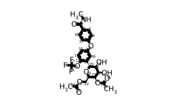 CNC(=O)c1ccc(Oc2ccc(OC(F)(F)F)c([C@H]3O[C@H](COC(C)=O)[C@@H](OC(C)=O)[C@H](O)[C@@H]3O)c2)cc1